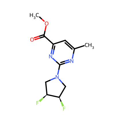 COC(=O)c1cc(C)nc(N2C[C@@H](F)[C@@H](F)C2)n1